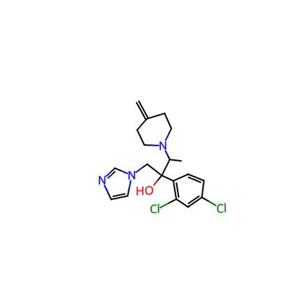 C=C1CCN(C(C)C(O)(Cn2ccnc2)c2ccc(Cl)cc2Cl)CC1